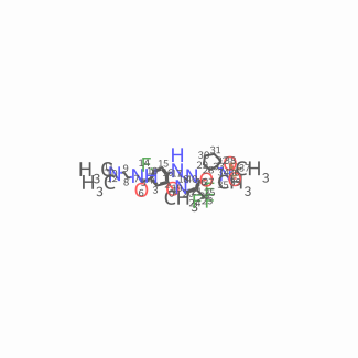 COc1cc(C(=O)NCCN(C)C)c(F)cc1Nc1ncc(C(F)(F)F)c(O[C@@H]2CCCC[C@H]2N(C)S(C)(=O)=O)n1